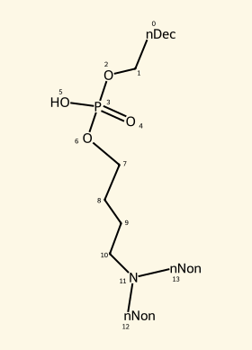 CCCCCCCCCCCOP(=O)(O)OCCCCN(CCCCCCCCC)CCCCCCCCC